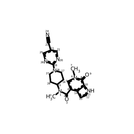 CN(C(=O)c1cn(C)c(=O)c2[nH]ccc12)C1CCN(c2ncc(C#N)cn2)CC1